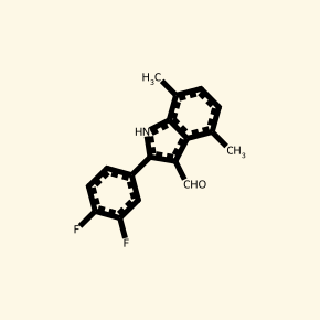 Cc1ccc(C)c2c(C=O)c(-c3ccc(F)c(F)c3)[nH]c12